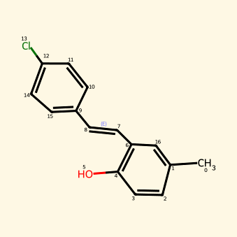 Cc1ccc(O)c(/C=C/c2ccc(Cl)cc2)c1